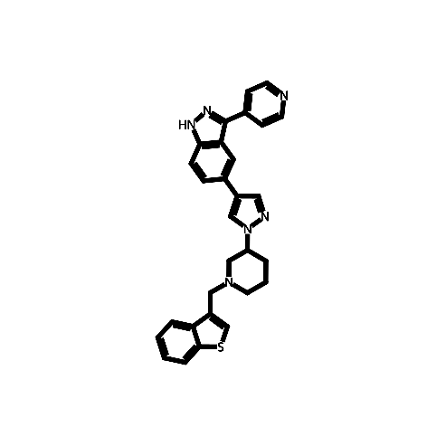 c1ccc2c(CN3CCCC(n4cc(-c5ccc6[nH]nc(-c7ccncc7)c6c5)cn4)C3)csc2c1